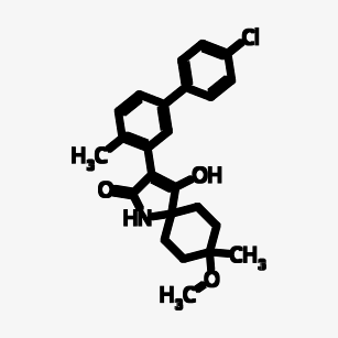 COC1(C)CCC2(CC1)NC(=O)C(c1cc(-c3ccc(Cl)cc3)ccc1C)=C2O